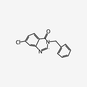 O=c1c2ccc(Cl)cc2n[c]n1Cc1ccccc1